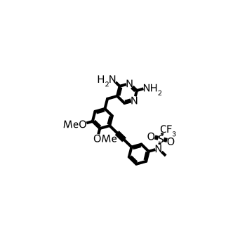 COc1cc(Cc2cnc(N)nc2N)cc(C#Cc2cccc(N(C)S(=O)(=O)C(F)(F)F)c2)c1OC